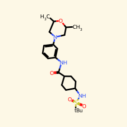 CC1CN(c2cccc(NC(=O)C3CCC(NS(=O)(=O)C(C)(C)C)CC3)c2)CC(C)O1